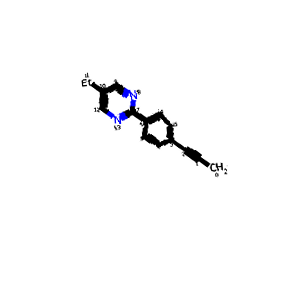 [CH2]C#Cc1ccc(-c2ncc(CC)cn2)cc1